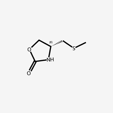 CSC[C@H]1COC(=O)N1